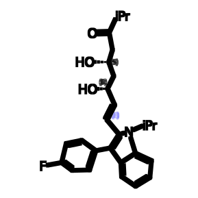 CC(C)C(=O)C[C@@H](O)C[C@@H](O)/C=C/c1c(-c2ccc(F)cc2)c2ccccc2n1C(C)C